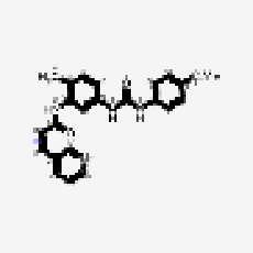 COc1ccc(NC(=O)Nc2ccc(C)c(NC(=O)/C=C\c3cccnc3)c2)cc1